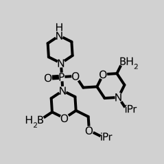 BC1CN(C(C)C)CC(COP(=O)(N2CCNCC2)N2CC(B)OC(COC(C)C)C2)O1